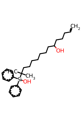 C=CCCCC(O)CCCCCCCC(C)(C)[Si](O)(c1ccccc1)c1ccccc1